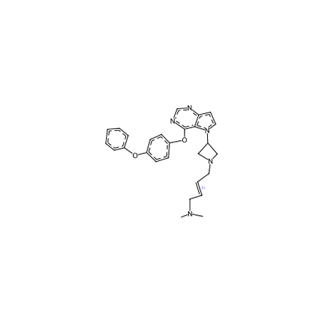 CN(C)C/C=C/CN1CC(n2ccc3ncnc(Oc4ccc(Oc5ccccc5)cc4)c32)C1